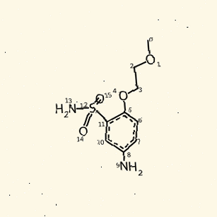 COCCOc1ccc(N)cc1S(N)(=O)=O